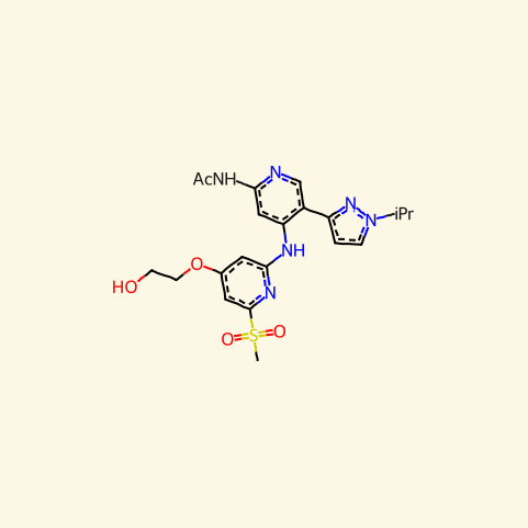 CC(=O)Nc1cc(Nc2cc(OCCO)cc(S(C)(=O)=O)n2)c(-c2ccn(C(C)C)n2)cn1